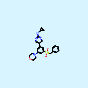 O=S(=O)(Cc1ccccc1)c1cc(-c2cnc(NC3CC3)nc2)cc(N2CCOCC2)c1